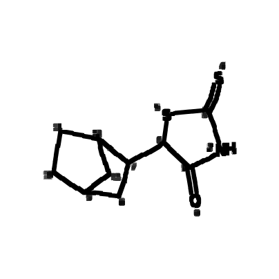 O=C1NC(=S)SC1C1CC2CCC1C2